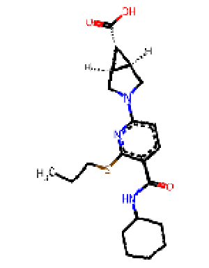 CCCSc1nc(N2C[C@@H]3[C@H](C2)[C@H]3C(=O)O)ccc1C(=O)NC1CCCCC1